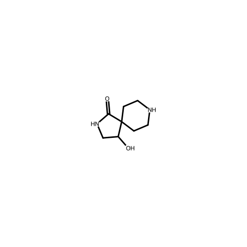 O=C1NCC(O)C12CCNCC2